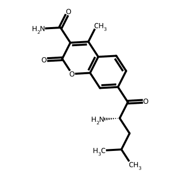 Cc1c(C(N)=O)c(=O)oc2cc(C(=O)[C@@H](N)CC(C)C)ccc12